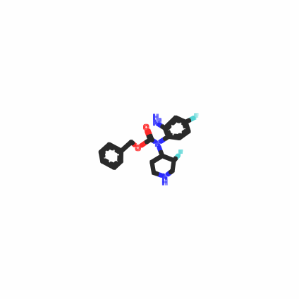 Nc1cc(F)ccc1N(C(=O)OCc1ccccc1)C1CCNCC1F